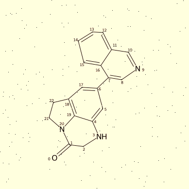 O=C1CNc2cc(-c3cncc4ccccc34)cc3c2N1CC3